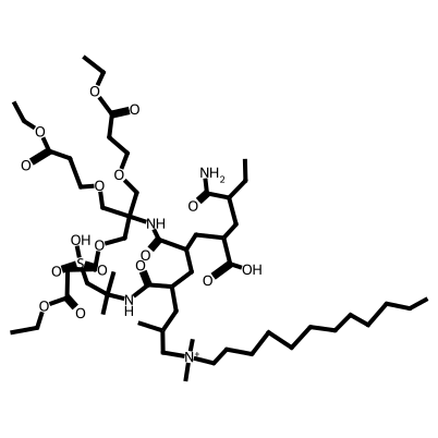 CCCCCCCCCCCC[N+](C)(C)CC(C)CC(CC(CC(CC(CC)C(N)=O)C(=O)O)C(=O)NC(COCCC(=O)OCC)(COCCC(=O)OCC)COCCC(=O)OCC)C(=O)NC(C)(C)CS(=O)(=O)O